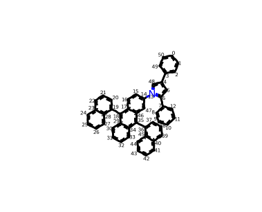 c1ccc(-c2cc(-c3ccccc3)n(-c3ccc4c(-c5cccc6ccccc56)c5ccccc5c(-c5cccc6ccccc56)c4c3)c2)cc1